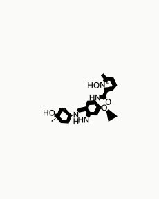 Cc1cccc(C(=O)NC2=C/C(=C/N[C@H]3CC[C@](C)(O)CC3)C(=N)C=C2OC2CC2)[n+]1O